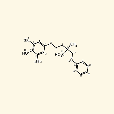 CC(CCCc1cc(C(C)(C)C)c(O)c(C(C)(C)C)c1)(COc1ccccc1)C(=O)O